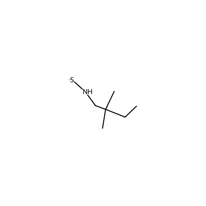 CCC(C)(C)CN[S]